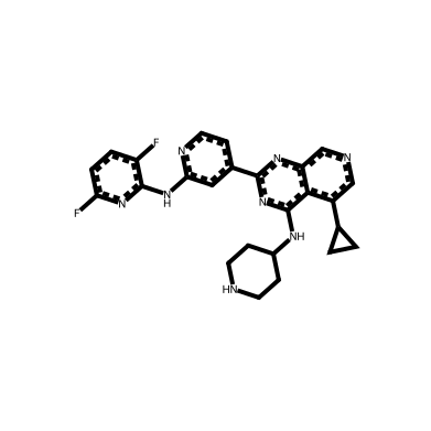 Fc1ccc(F)c(Nc2cc(-c3nc(NC4CCNCC4)c4c(C5CC5)cncc4n3)ccn2)n1